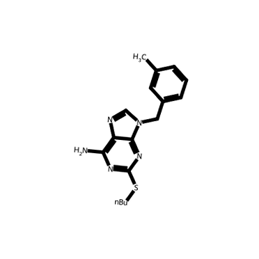 CCCCSc1nc(N)c2ncn(Cc3cccc(C)c3)c2n1